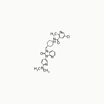 Cc1ncc(Cl)cc1C(=O)N[C@H]1CC[C@H](Cn2c(=O)n(-c3ccc(N(C)C)nc3)c3ncccc32)CC1